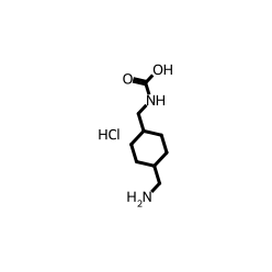 Cl.NCC1CCC(CNC(=O)O)CC1